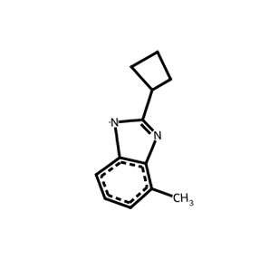 Cc1cccc2c1N=C(C1CCC1)[N]2